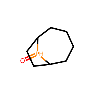 O=[PH]1C2CCCCC1CC2